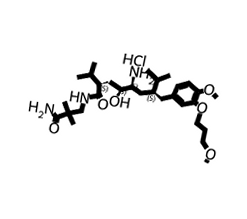 COCCCOc1cc(C[C@@H](C[C@H](N)[C@@H](O)C[C@H](C(=O)NCC(C)(C)C(N)=O)C(C)C)C(C)C)ccc1OC.Cl